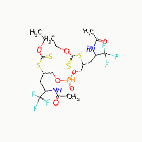 CCOC(=S)SC(CO[PH](=O)OCC(CC(NC(C)=O)C(F)(F)F)SC(=S)OCC)CC(NC(C)=O)C(F)(F)F